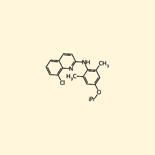 Cc1cc(OC(C)C)cc(C)c1Nc1ccc2cccc(Cl)c2n1